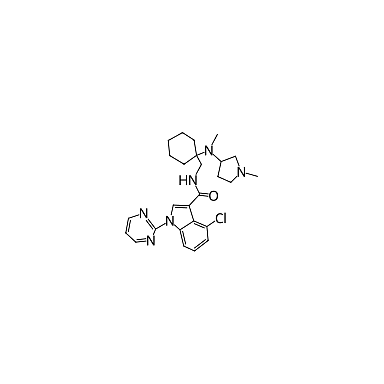 CN1CCC(N(C)C2(CNC(=O)c3cn(-c4ncccn4)c4cccc(Cl)c34)CCCCC2)C1